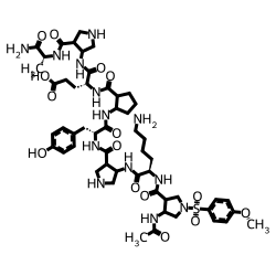 COc1ccc(S(=O)(=O)N2CC(NC(C)=O)C(C(=O)N[C@H](CCCCN)C(=O)NC3CNCC3C(=O)N[C@H](Cc3ccc(O)cc3)C(=O)NC3CCCC3C(=O)N[C@H](CCC(=O)O)C(=O)NC3CNCC3C(=O)N[C@H](C)C(N)=O)C2)cc1